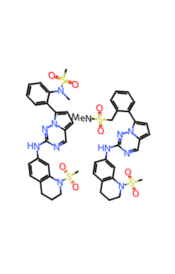 CN(c1ccccc1-c1ccc2cnc(Nc3ccc4c(c3)N(S(C)(=O)=O)CCC4)nn12)S(C)(=O)=O.CNS(=O)(=O)Cc1ccccc1-c1ccc2cnc(Nc3ccc4c(c3)N(S(C)(=O)=O)CCC4)nn12